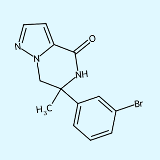 CC1(c2cccc(Br)c2)Cn2nccc2C(=O)N1